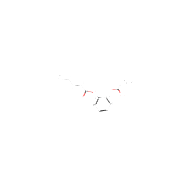 CCCCCCCCCC(=O)Oc1ccccc1OC(=O)CCCC(C)C